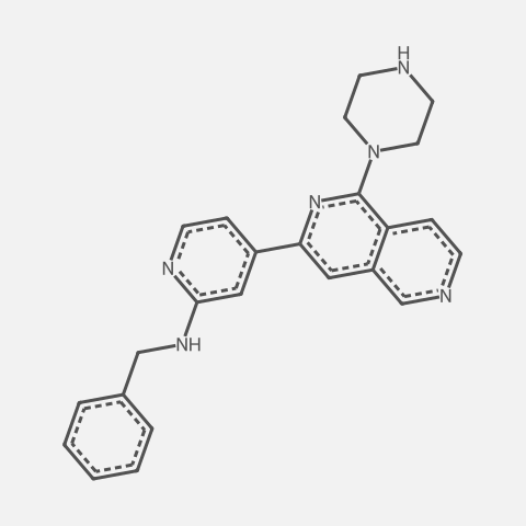 c1ccc(CNc2cc(-c3cc4cnccc4c(N4CCNCC4)n3)ccn2)cc1